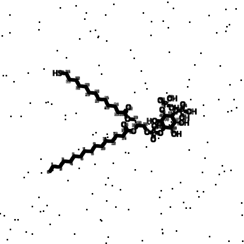 CCCCCCCCCCCCCCCC(=O)O[C@H](COC(=O)CCCCCCCCCCCCS)COP(=O)(O)OC1C(O)[C@H](OP(=O)(O)O)C(OP(=O)(O)O)[C@H](O)[C@@H]1O